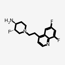 N[C@H]1CCN(CCc2ccnc3c(F)cc(F)cc23)C[C@@H]1F